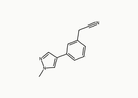 Cn1cc(-c2c[c]cc(CC#N)c2)cn1